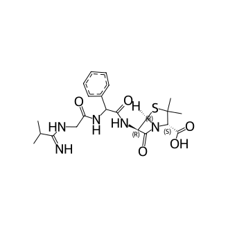 CC(C)C(=N)NCC(=O)NC(C(=O)N[C@@H]1C(=O)N2[C@@H]1SC(C)(C)[C@@H]2C(=O)O)c1ccccc1